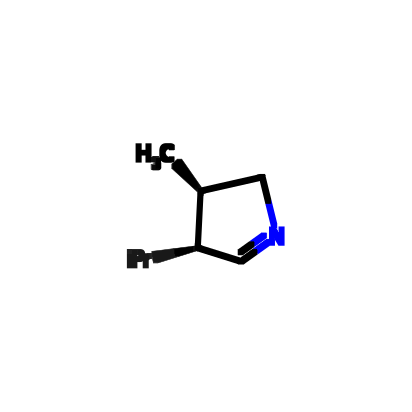 CC(C)[C@@H]1C=NC[C@@H]1C